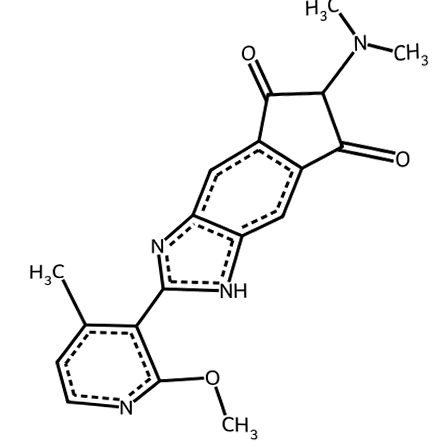 COc1nccc(C)c1-c1nc2cc3c(cc2[nH]1)C(=O)C(N(C)C)C3=O